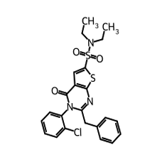 CCN(CC)S(=O)(=O)c1cc2c(=O)n(-c3ccccc3Cl)c(Cc3ccccc3)nc2s1